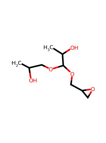 [CH2]C(O)COC(OCC1CO1)C(C)O